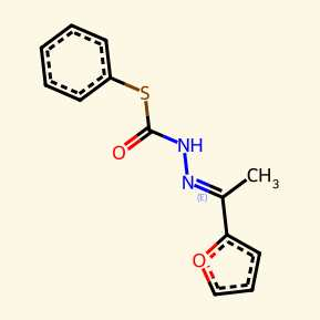 C/C(=N\NC(=O)Sc1ccccc1)c1ccco1